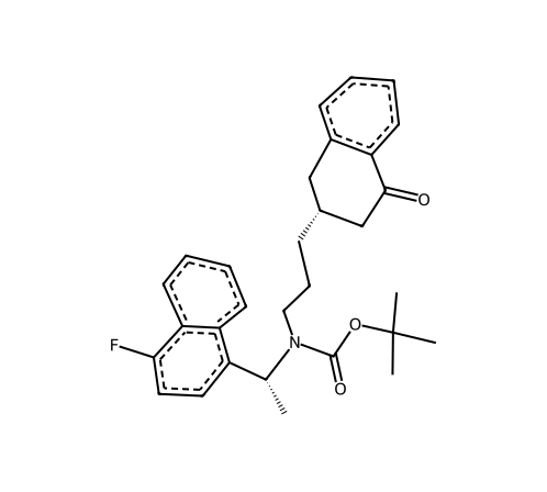 C[C@H](c1ccc(F)c2ccccc12)N(CCC[C@H]1CC(=O)c2ccccc2C1)C(=O)OC(C)(C)C